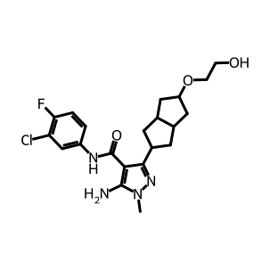 Cn1nc(C2CC3CC(OCCO)CC3C2)c(C(=O)Nc2ccc(F)c(Cl)c2)c1N